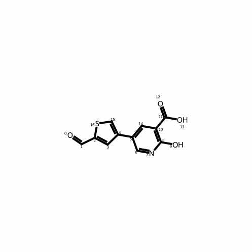 O=Cc1cc(-c2cnc(O)c(C(=O)O)c2)cs1